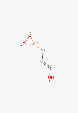 OC=CCp1oo1